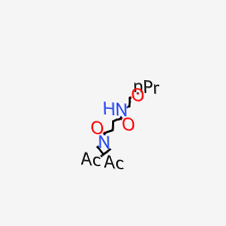 CCCOCCNC(=O)CCC(=O)N1CC(C(C)=O)(C(C)=O)C1